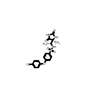 C[C@@H](NS(=O)(=O)c1ccc(Oc2ccc(Cl)cc2)cc1)[C@]1(C)NC(=O)NC1=O